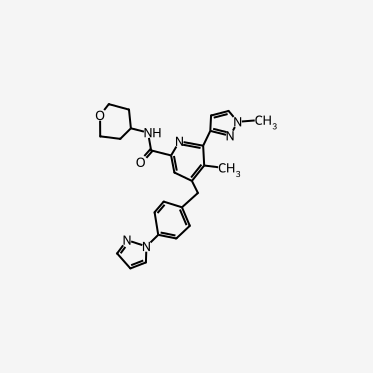 Cc1c(Cc2ccc(-n3cccn3)cc2)cc(C(=O)NC2CCOCC2)nc1-c1ccn(C)n1